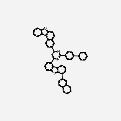 c1ccc(-c2ccc(-c3nc(-c4ccc5c(ccc6oc7ccccc7c65)c4)nc(-c4cccc5oc6c(-c7ccc8ccccc8c7)cccc6c45)n3)cc2)cc1